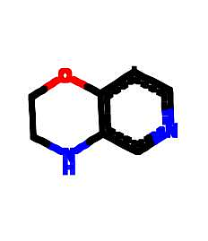 [c]1cncc2c1OCCN2